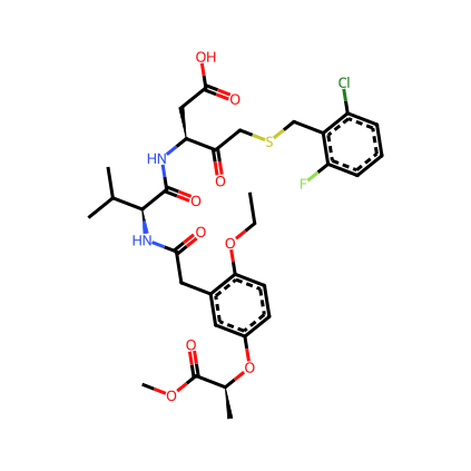 CCOc1ccc(O[C@@H](C)C(=O)OC)cc1CC(=O)N[C@H](C(=O)N[C@@H](CC(=O)O)C(=O)CSCc1c(F)cccc1Cl)C(C)C